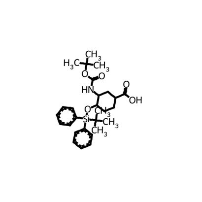 CC(C)(C)OC(=O)NC1CC(C(=O)O)CCC1O[Si](c1ccccc1)(c1ccccc1)C(C)(C)C